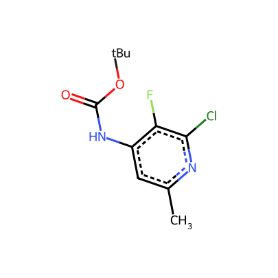 Cc1cc(NC(=O)OC(C)(C)C)c(F)c(Cl)n1